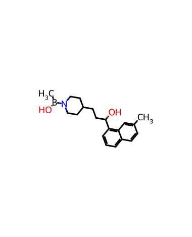 CB(O)N1CCC(CCC(O)c2cccc3ccc(C)cc23)CC1